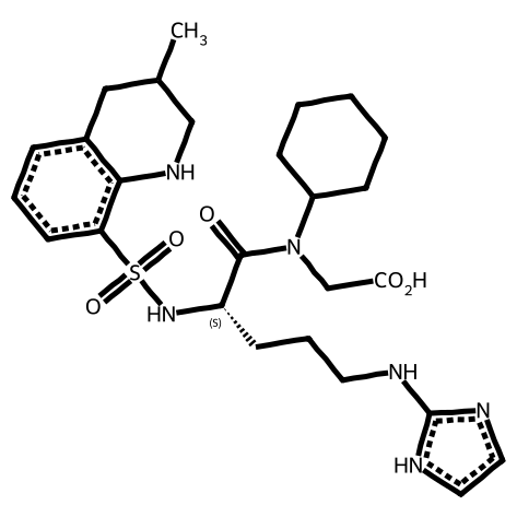 CC1CNc2c(cccc2S(=O)(=O)N[C@@H](CCCNc2ncc[nH]2)C(=O)N(CC(=O)O)C2CCCCC2)C1